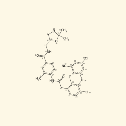 Cc1cc(C(=O)NC[C@@H]2COC(C)(C)O2)ccc1NC(=O)Cc1ccc(Cl)c(Oc2cc(Cl)cc(C#N)c2)c1F